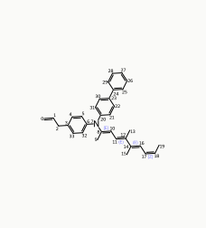 C=CCc1ccc(N(/C(C)=C/C=C(C)/C(C)=C/C=C\C)c2ccc(-c3ccccc3)cc2)cc1